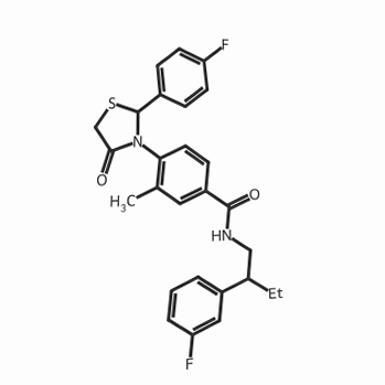 CCC(CNC(=O)c1ccc(N2C(=O)CSC2c2ccc(F)cc2)c(C)c1)c1cccc(F)c1